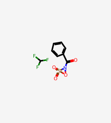 FC(F)F.O=C(c1ccccc1)N1OS1(=O)=O